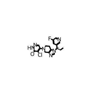 CC[C@H](c1cncc(F)c1)n1cnc2c1CCN(c1cn[nH]c(=O)c1Cl)C2